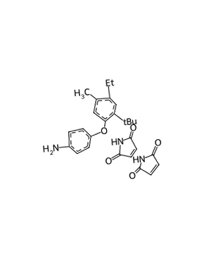 CCc1cc(C(C)(C)C)c(Oc2ccc(N)cc2)cc1C.O=C1C=CC(=O)N1.O=C1C=CC(=O)N1